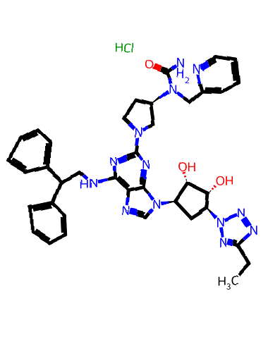 CCc1nnn([C@H]2C[C@@H](n3cnc4c(NCC(c5ccccc5)c5ccccc5)nc(N5CC[C@@H](N(Cc6ccccn6)C(N)=O)C5)nc43)[C@H](O)[C@@H]2O)n1.Cl